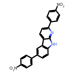 O=[N+]([O-])c1ccc(-c2ccc3[nH]c4nc(-c5ccc([N+](=O)[O-])cc5)ccc4c3c2)cc1